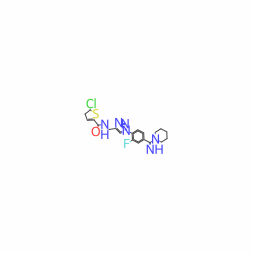 N=C(c1ccc(-n2cc(CNC(=O)C3=CCC(Cl)S3)nn2)c(F)c1)N1CCCCC1